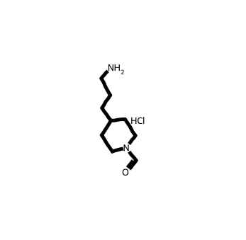 Cl.NCCCC1CCN(C=O)CC1